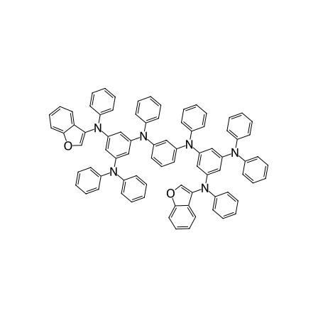 c1ccc(N(c2ccccc2)c2cc(N(c3ccccc3)c3cccc(N(c4ccccc4)c4cc(N(c5ccccc5)c5ccccc5)cc(N(c5ccccc5)c5coc6ccccc56)c4)c3)cc(N(c3ccccc3)c3coc4ccccc34)c2)cc1